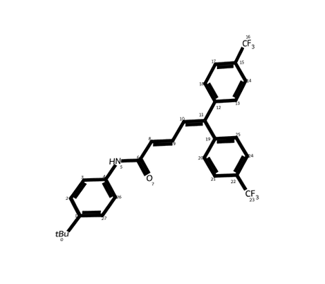 CC(C)(C)c1ccc(NC(=O)C=CC=C(c2ccc(C(F)(F)F)cc2)c2ccc(C(F)(F)F)cc2)cc1